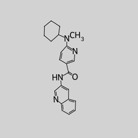 CN(c1ccc(C(=O)Nc2cnc3ccccc3c2)cn1)C1CCCCC1